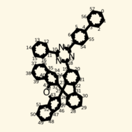 c1ccc(-c2ccc(-c3nc(-c4ccccc4)nc(-c4ccc5c(c4)C4(c6ccccc6-5)c5ccc6ccccc6c5Oc5c4ccc4ccccc54)n3)cc2)cc1